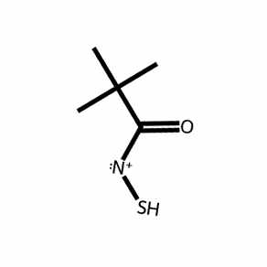 CC(C)(C)C(=O)[N+]S